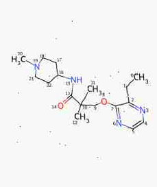 CCc1nccnc1OCC(C)(C)C(=O)NC1CCN(C)CC1